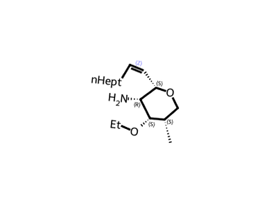 CCCCCCC/C=C\[C@@H]1OC[C@H](C)[C@H](OCC)[C@@H]1N